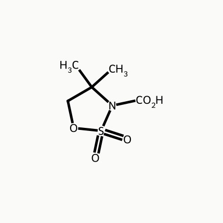 CC1(C)COS(=O)(=O)N1C(=O)O